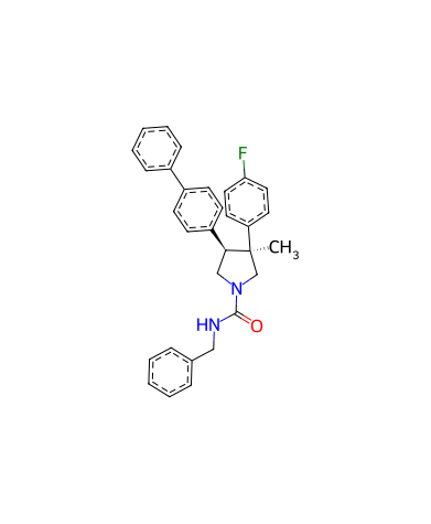 C[C@]1(c2ccc(F)cc2)CN(C(=O)NCc2ccccc2)C[C@H]1c1ccc(-c2ccccc2)cc1